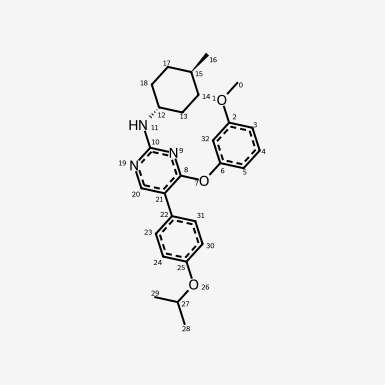 COc1cccc(Oc2nc(N[C@H]3CC[C@H](C)CC3)ncc2-c2ccc(OC(C)C)cc2)c1